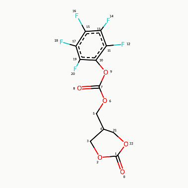 O=C1OCC(COC(=O)Oc2c(F)c(F)c(F)c(F)c2F)CO1